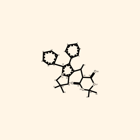 CC(c1c(-c2ccccc2)c(-c2ccccc2)n2c1CC(C)(C)C2)C1C(=O)OC(C)(C)OC1=O